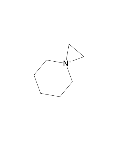 C1CC[N+]2(CC1)CC2